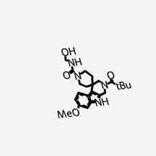 COc1ccc2c3c([nH]c2c1)CN(C(=O)C(C)(C)C)CC31CCN(C(=O)NCO)CC1